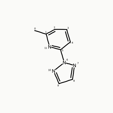 Cc1cc[c]c(-n2nccn2)n1